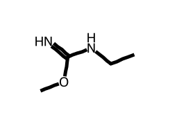 CCNC(=N)OC